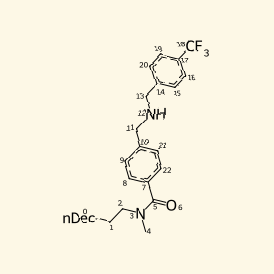 CCCCCCCCCCCCN(C)C(=O)c1ccc(CNCc2ccc(C(F)(F)F)cc2)cc1